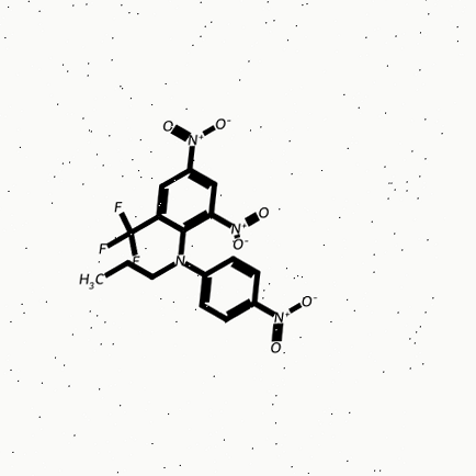 CCCN(c1ccc([N+](=O)[O-])cc1)c1c([N+](=O)[O-])cc([N+](=O)[O-])cc1C(F)(F)F